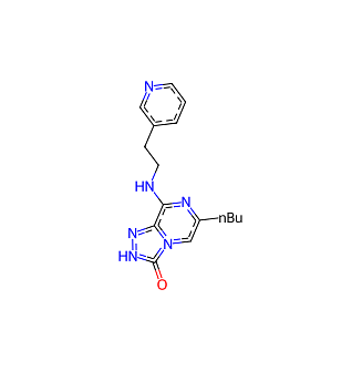 CCCCc1cn2c(=O)[nH]nc2c(NCCc2cccnc2)n1